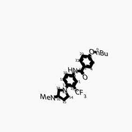 CCCCOc1ccc(C(=O)Nc2ccc(N3CCC(NC)C3)c(C(F)(F)F)c2)cc1